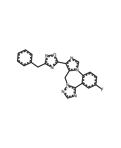 Fc1ccc2c(c1)-c1ncnn1Cc1c(-c3nc(Cc4ccccc4)no3)ncn1-2